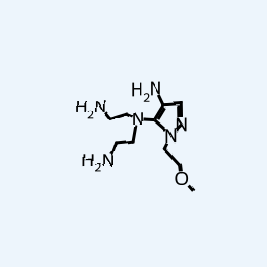 COCCn1ncc(N)c1N(CCN)CCN